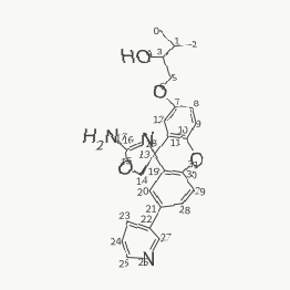 CC(C)C(O)COc1ccc2c(c1)[C@]1(COC(N)=N1)c1cc(-c3cccnc3)ccc1O2